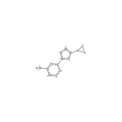 Nc1cc(-n2cnc(C3CC3)c2)ccn1